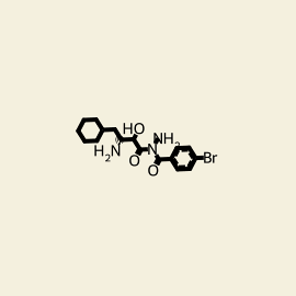 N[C@H](CC1CCCCC1)C(O)C(=O)N(N)C(=O)c1ccc(Br)cc1